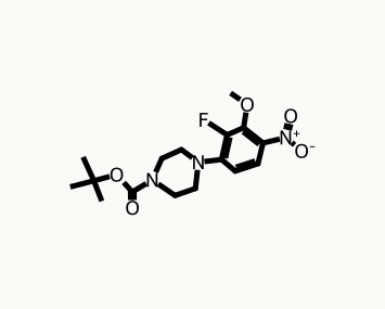 COc1c([N+](=O)[O-])ccc(N2CCN(C(=O)OC(C)(C)C)CC2)c1F